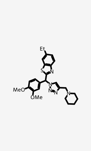 CCc1ccc2nc(C(c3ccc(OC)c(OC)c3)n3cc(CN4CCCCC4)nn3)sc2c1